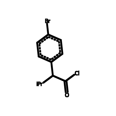 CC(C)C(C(=O)Cl)c1ccc(Br)cc1